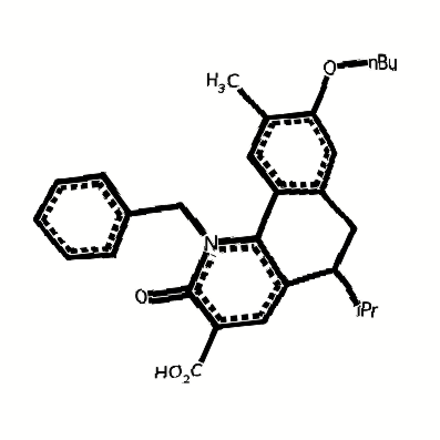 CCCCOc1cc2c(cc1C)-c1c(cc(C(=O)O)c(=O)n1Cc1ccccc1)C(C(C)C)C2